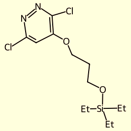 CC[Si](CC)(CC)OCCCOc1cc(Cl)nnc1Cl